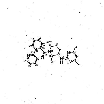 Cc1cc(C)nc(N[C@H]2CCCN(C(=O)c3c(F)cccc3-c3ncccn3)[C@@H]2C)n1